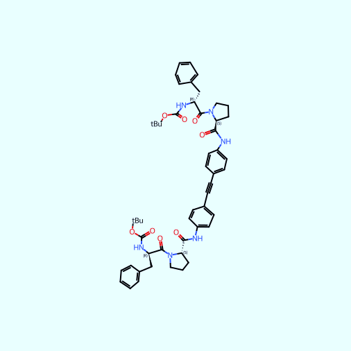 CC(C)(C)OC(=O)N[C@H](Cc1ccccc1)C(=O)N1CCC[C@H]1C(=O)Nc1ccc(C#Cc2ccc(NC(=O)[C@@H]3CCCN3C(=O)[C@@H](Cc3ccccc3)NC(=O)OC(C)(C)C)cc2)cc1